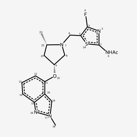 CC(=O)Nc1nc(F)c(CN2C[C@H](Oc3cccc4nn(C)cc34)C[C@@H]2C)s1